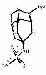 CC(C)(C)C1C2CC3CC1CC(NS(C)(=O)=O)(C3)C2